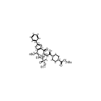 CCCCOC(=O)N1CCN(C(=O)[C@H](CP(=O)(OCC)OCC)NC(=O)c2nc(-c3ccccc3)sc2N(C)CCCC)CC1